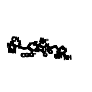 Cn1nnnc1SCC1=C(C(=O)[O-])N2C(=O)C(NC(=O)Cc3csc(=N)n3O)[C@H]2SC1.[Na+]